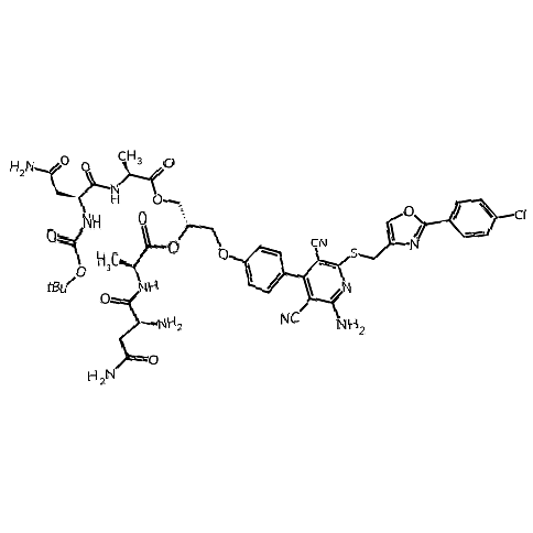 C[C@H](NC(=O)[C@H](CC(N)=O)NC(=O)OC(C)(C)C)C(=O)OC[C@H](COc1ccc(-c2c(C#N)c(N)nc(SCc3coc(-c4ccc(Cl)cc4)n3)c2C#N)cc1)OC(=O)[C@H](C)NC(=O)[C@@H](N)CC(N)=O